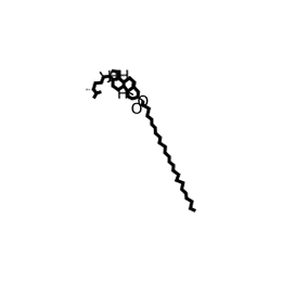 CCCCCCCCCCCCCCCCCCCCCCCC(=O)O[C@H]1CC[C@@]2(C)C(=CC[C@H]3[C@@H]4CC[C@H]([C@H](C)CC[C@@H](C)C(C)C)[C@@]4(C)CC[C@@H]32)C1